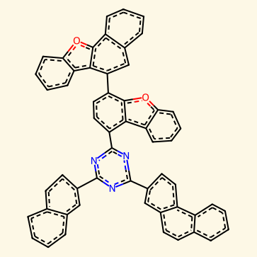 c1ccc2cc(-c3nc(-c4ccc5c(ccc6ccccc65)c4)nc(-c4ccc(-c5cc6ccccc6c6oc7ccccc7c56)c5oc6ccccc6c45)n3)ccc2c1